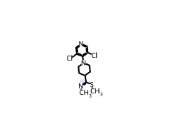 C/N=C(\SC)C1CCN(c2c(Cl)cncc2Cl)CC1